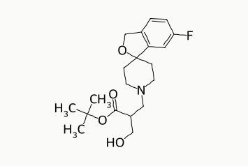 CC(C)(C)OC(=O)C(CO)CN1CCC2(CC1)OCc1ccc(F)cc12